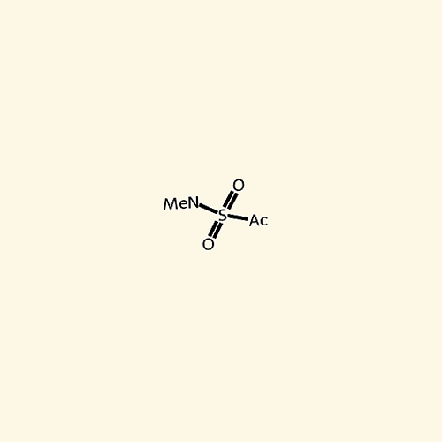 CNS(=O)(=O)C(C)=O